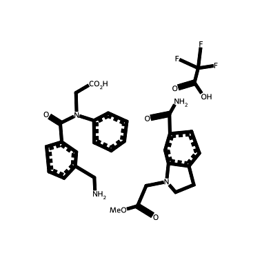 COC(=O)CN1CCc2ccc(C(N)=O)cc21.NCc1cccc(C(=O)N(CC(=O)O)c2ccccc2)c1.O=C(O)C(F)(F)F